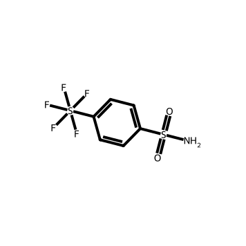 NS(=O)(=O)c1ccc(S(F)(F)(F)(F)F)cc1